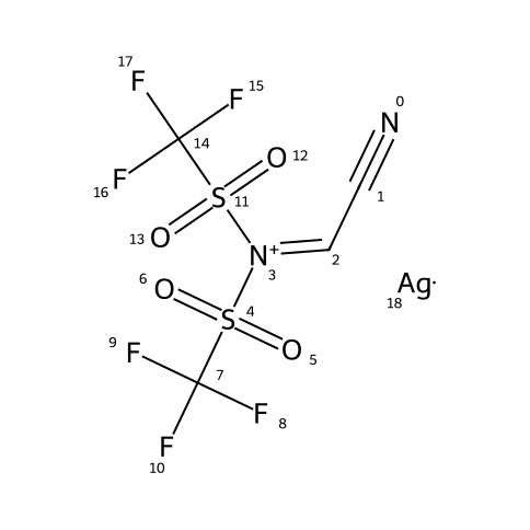 N#CC=[N+](S(=O)(=O)C(F)(F)F)S(=O)(=O)C(F)(F)F.[Ag]